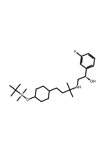 CC(C)(CCC1CCC(O[Si](C)(C)C(C)(C)C)CC1)NC[C@H](O)c1cccc(F)c1